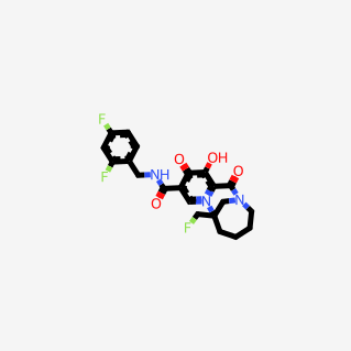 O=C(NCc1ccc(F)cc1F)c1cn2c(c(O)c1=O)C(=O)N1CCCCC2(CF)C1